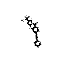 CC(C)(F)C1Cc2nc3cc(C#Cc4ccccn4)ccc3c(=O)n2C1